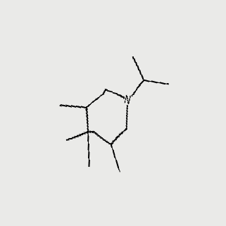 CC(C)N1CC(C)C(C)(C)C(C)C1